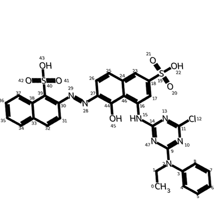 CCN(c1ccccc1)c1nc(Cl)nc(Nc2cc(S(=O)(=O)O)cc3ccc(N=Nc4ccc5ccccc5c4S(=O)(=O)O)c(O)c23)n1